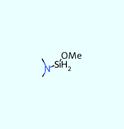 CO[SiH2]N(C)C